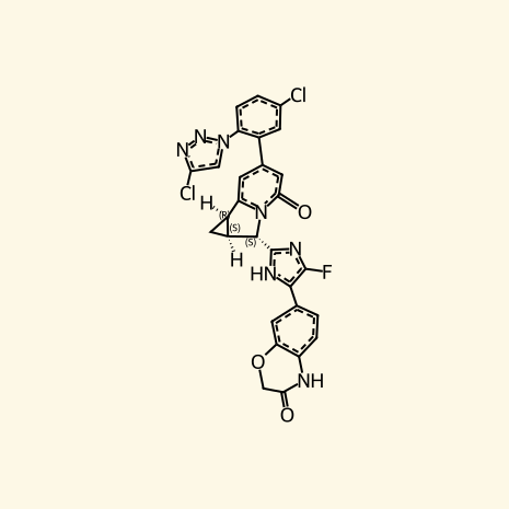 O=C1COc2cc(-c3[nH]c([C@@H]4[C@H]5C[C@H]5c5cc(-c6cc(Cl)ccc6-n6cc(Cl)nn6)cc(=O)n54)nc3F)ccc2N1